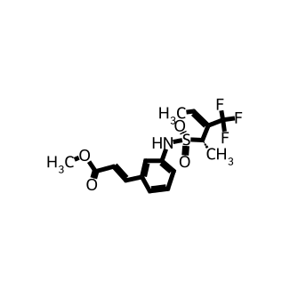 C/C=C(\[C@H](C)S(=O)(=O)Nc1cccc(/C=C/C(=O)OC)c1)C(F)(F)F